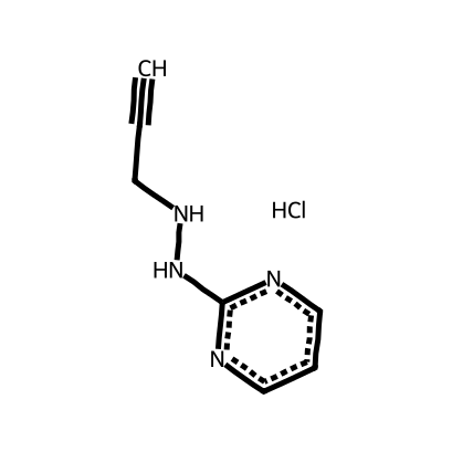 C#CCNNc1ncccn1.Cl